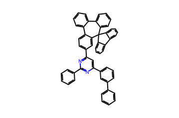 c1ccc(-c2cccc(-c3cc(-c4ccc5c(c4)C4(c6ccccc6-c6ccccc6-5)c5ccccc5-c5ccccc54)nc(-c4ccccc4)n3)c2)cc1